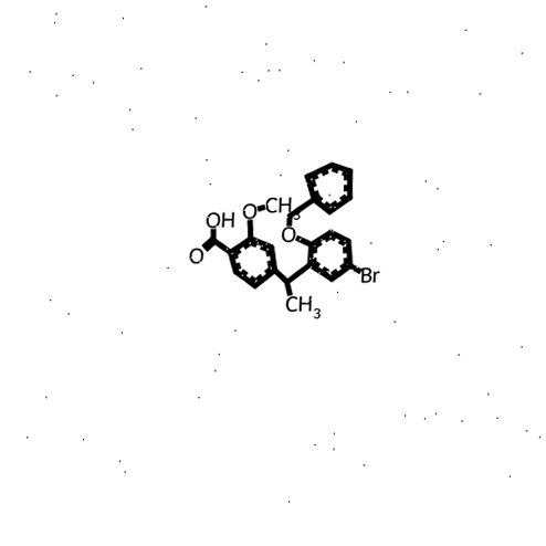 COc1cc(C(C)c2cc(Br)ccc2OCc2ccccc2)ccc1C(=O)O